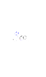 Cc1ccc2cc([C@H](c3nnnn3C3CCCC3)N3CCC[C@@H](C)C3)c(=O)[nH]c2c1C